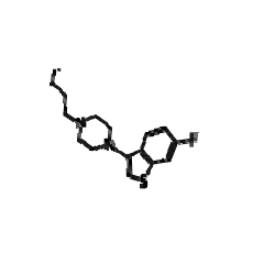 [CH2]CCCN1CCN(c2csc3cc(F)ccc23)CC1